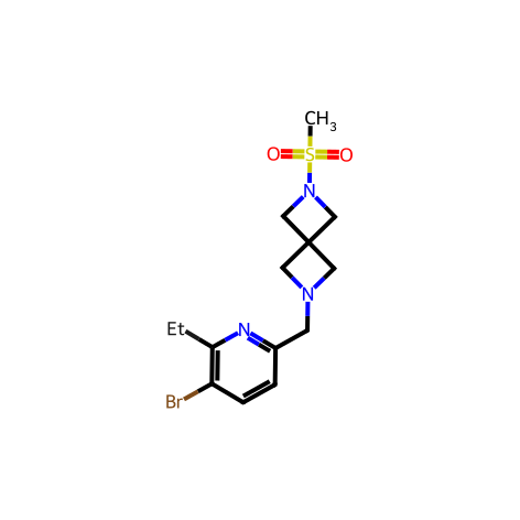 CCc1nc(CN2CC3(C2)CN(S(C)(=O)=O)C3)ccc1Br